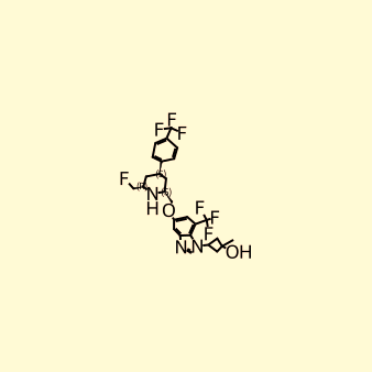 CC1(O)CC(n2cnc3cc(OC[C@@H]4C[C@H](c5ccc(C(F)(F)F)cc5)C[C@H](CF)N4)cc(C(F)(F)F)c32)C1